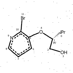 CC(C)[C@H](CO)Oc1cccnc1Br